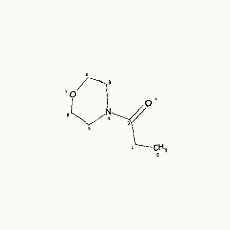 CCC(=O)N1CCOCC1